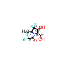 B[C@@H]1N(C(=O)C(F)(F)F)[C@H](CO)[C@@H](O)C1(F)F